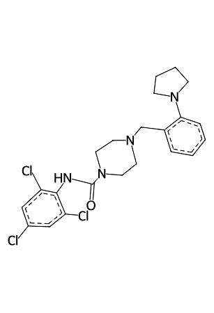 O=C(Nc1c(Cl)cc(Cl)cc1Cl)N1CCN(Cc2ccccc2N2CCCC2)CC1